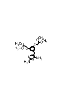 COC(COc1cc(Cc2cnc(N)nc2N)cc(OCC(OC)OC)c1)OC